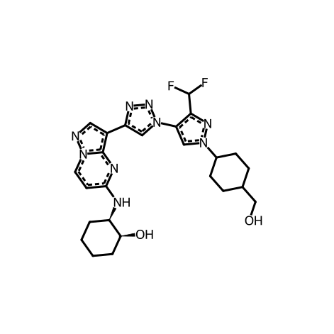 OCC1CCC(n2cc(-n3cc(-c4cnn5ccc(N[C@@H]6CCCC[C@@H]6O)nc45)nn3)c(C(F)F)n2)CC1